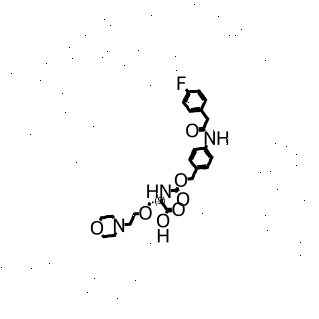 O=C(Cc1ccc(F)cc1)Nc1ccc(COC(=O)N[C@@H](COCCN2CCOCC2)C(=O)O)cc1